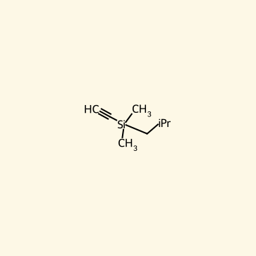 C#C[Si](C)(C)CC(C)C